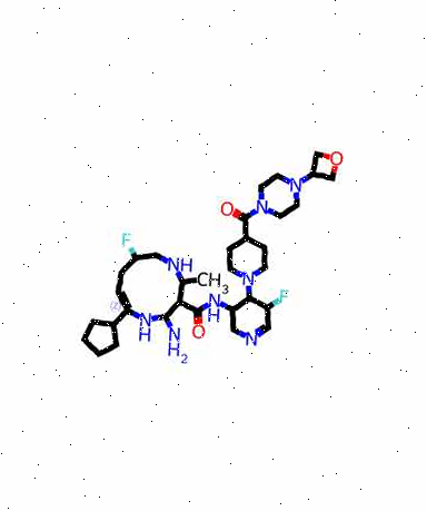 CC1NCC(F)C/C=C(/C2CCCC2)NC(N)C1C(=O)NC1CN=CC(F)C1N1CCC(C(=O)N2CCN(C3COC3)CC2)CC1